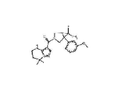 COc1cccc(C23CN(C(=O)c4cnn5c4NCCC5(C)C)CC2C3(F)P)c1